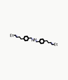 CC/C=C/CCc1ccc(/C=N/N=C/c2ccc(CC/C=C/CC)cc2)cc1